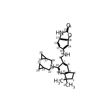 CC1(C)CCc2cc(CNc3ccc4[nH]c(=O)oc4c3)c(N(CC3CC3)CC3CC3)nc21